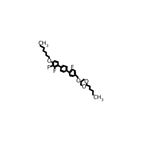 CCCCCCCOc1ccc(-c2ccc(-c3ccc(COC4COC(CCCCC)OC4)cc3F)cc2)c(F)c1F